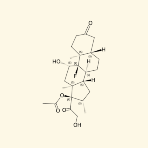 CC(=O)O[C@]1(C(=O)CO)[C@@H](C)C[C@H]2[C@@H]3CC[C@H]4CC(=O)CC[C@]4(C)[C@@]3(F)[C@@H](O)C[C@@]21C